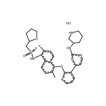 Cc1ccc2c(NS(=O)(=O)CC3CCCO3)c(F)ccc2c1Oc1ncccc1-c1ccnc(NC2CCCNC2)n1.Cl